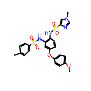 COc1ccc(Oc2ccc(NS(=O)(=O)c3cn(C)cn3)c(NS(=O)(=O)c3ccc(C)cc3)c2)cc1